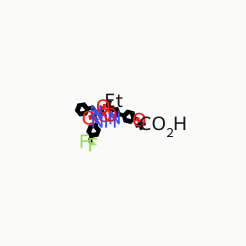 CCC(OC(=O)N(Cc1ccccc1)C(=O)Nc1ccc(C(F)F)cc1)c1cc(-c2ccc(OC(C)(C)C(=O)O)cc2)no1